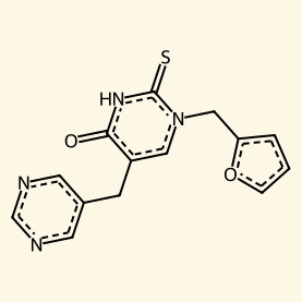 O=c1[nH]c(=S)n(Cc2ccco2)cc1Cc1cncnc1